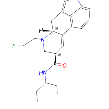 CCC(CC)NC(=O)[C@@H]1C=C2c3cccc4[nH]cc(c34)C[C@H]2N(CCF)C1